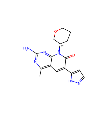 Cc1nc(N)nc2c1cc(-c1ccn[nH]1)c(=O)n2[C@@H]1CCCOC1